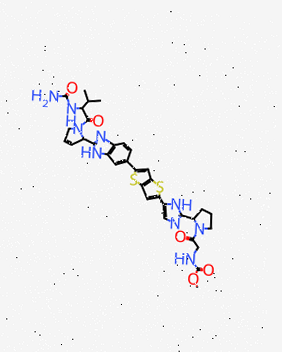 COC(=O)NCC(=O)N1CCCC1c1ncc(-c2cc3sc(-c4ccc5nc(C6C=CCN6C(=O)C(NC(N)=O)C(C)C)[nH]c5c4)cc3s2)[nH]1